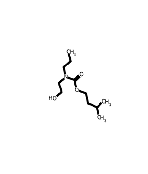 CCCN(CCO)C(=O)OCCC(C)C